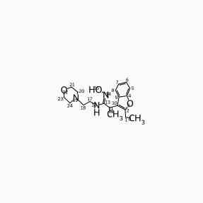 CCc1oc2ccccc2c1C(C)C(=NO)NCCN1CCOCC1